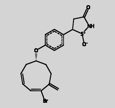 C=C1CC[C@@H](Oc2ccc(C3CC(=O)N[S+]3[O-])cc2)C/C=C\C=C/1Br